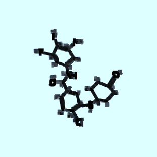 O=C1CCC(Sc2cc(C(=O)Nc3cc(F)c(F)c(F)c3)ccc2Cl)CC1